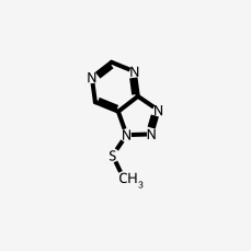 CSn1nnc2ncncc21